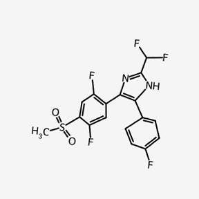 CS(=O)(=O)c1cc(F)c(-c2nc(C(F)F)[nH]c2-c2ccc(F)cc2)cc1F